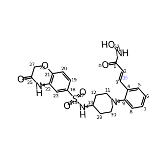 O=C(/C=C/c1ccccc1N1CCC(NS(=O)(=O)c2ccc3c(c2)NC(=O)CO3)CC1)NO